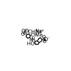 COc1c(/N=N/c2c(O)ccc3cc(S(=O)(=O)[O-])ccc23)ccc(S(=O)(=O)[O-])c1C.[Na+].[Na+]